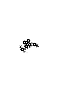 Cc1cc(C2(c3ccc(Oc4cc(C(F)(F)F)ccc4N)c(C)c3)c3ccccc3-c3ccccc32)ccc1Oc1cc(C(F)(F)F)ccc1N